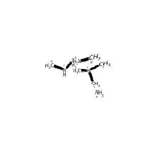 CN.CN(C)C.CNC.N